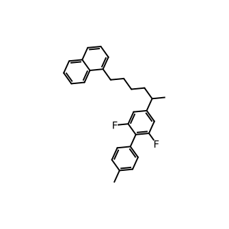 Cc1ccc(-c2c(F)cc(C(C)CCCCc3cccc4ccccc34)cc2F)cc1